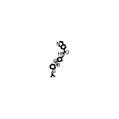 CC(C)COc1cccc(S(=O)(=O)c2ccc(CNC(=O)c3ccc4ccncc4c3)cc2)c1